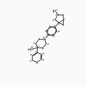 CCN1CC2CC2(c2ccc(N3CCC(O)(C4=CCCC=C4)CC3)cc2)C1